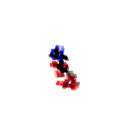 Cc1nc2c(N)ncnc2n1[C@@H]1O[C@H](COP2(=O)OP(=O)(O)OP(=O)(O)O2)C(O)C1O